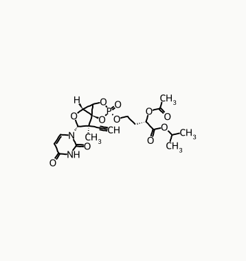 C#C[C@@]1(C)[C@H](n2ccc(=O)[nH]c2=O)O[C@@H]2C3O[P@](=O)(OCC[C@H](OC(C)=O)C(=O)OC(C)C)O[C@]321